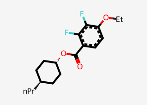 CCC[C@H]1CC[C@H](OC(=O)c2ccc(OCC)c(F)c2F)CC1